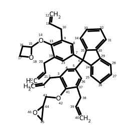 C=CCc1cc(C2(c3cc(CC=C)c(OC4CCO4)c(CC=C)c3)c3ccccc3-c3ccccc32)cc(CC=C)c1OCC1CO1